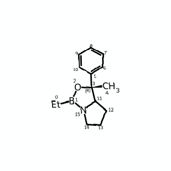 CCB1O[C@](C)(c2ccccc2)C2CCCN12